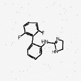 Fc1cccc(F)c1-c1ccccc1NC1=NCCN1